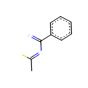 C/C(S)=N/C(=N)c1ccccc1